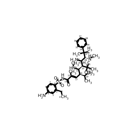 CCc1cc(N)ccc1S(=O)(=O)NC(=O)/C(C)=C/[C@H](C(C)C)C(NC)[C@@H](C(N)[C@@H](NC)C(C)(C)c1ccccc1)C(C)(C)C